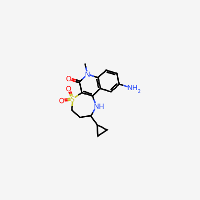 Cn1c(=O)c2c(c3cc(N)ccc31)NC(C1CC1)CCS2(=O)=O